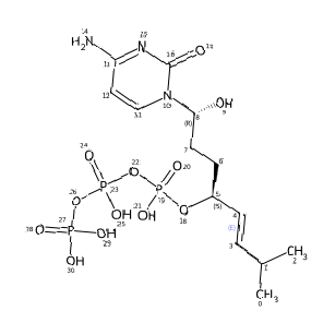 CC(C)/C=C/[C@H](CC[C@@H](O)n1ccc(N)nc1=O)OP(=O)(O)OP(=O)(O)OP(=O)(O)O